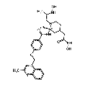 CCC[C@]1(NC(=O)c2ccc(OCc3cc(C)nc4ccccc34)cc2)CC(CC(=O)NO)CCN1CC(C)NO